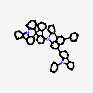 c1ccc(-c2cccc(-c3ccccc3N(c3ccc(-c4ccc5c6ccccc6n(-c6ccccc6)c5c4)cc3)c3cccc4c3-c3ccccc3C43c4ccccc4-n4c5ccccc5c5cccc3c54)c2)cc1